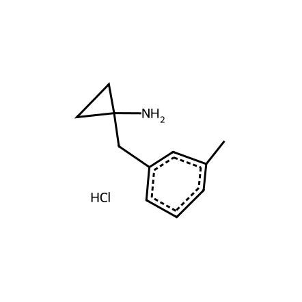 Cc1cccc(CC2(N)CC2)c1.Cl